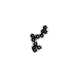 c1ccc(-n2c3ccc(-c4ccc5c6ccccc6n(-c6ccc(-c7cccc(-c8ccc9c%10c(cccc8%10)-c8ccccc8-9)c7)cc6)c5c4)cc3c3ccc4ccccc4c32)cc1